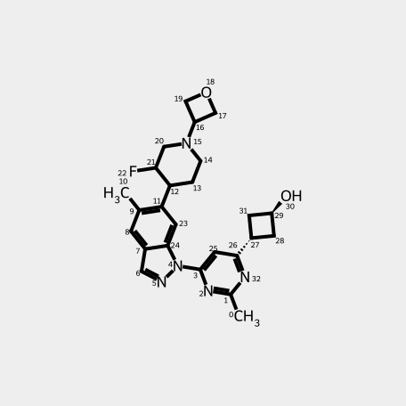 Cc1nc(-n2ncc3cc(C)c(C4CCN(C5COC5)CC4F)cc32)cc([C@H]2C[C@H](O)C2)n1